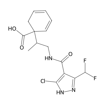 CC(CNC(=O)c1c(C(F)F)n[nH]c1Cl)C1(C(=O)O)C=CC=CC1